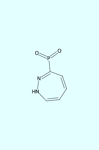 O=P(=O)C1=NNC=CC=C1